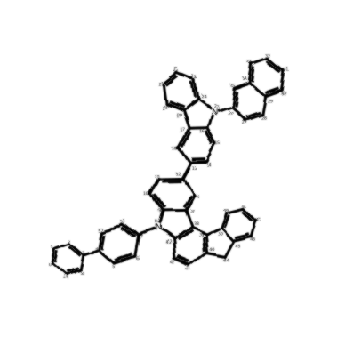 c1ccc(-c2ccc(-n3c4ccc(-c5ccc6c(c5)c5ccccc5n6-c5ccc6ccccc6c5)cc4c4c5c(ccc43)Cc3ccccc3-5)cc2)cc1